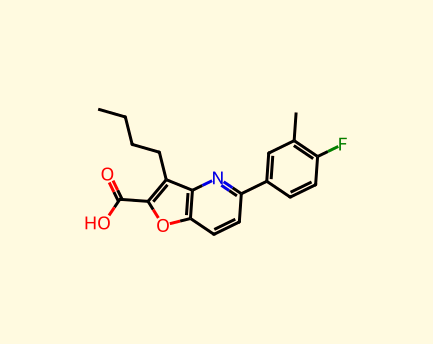 CCCCc1c(C(=O)O)oc2ccc(-c3ccc(F)c(C)c3)nc12